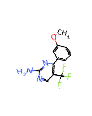 COc1cccc(-c2nc(N)ncc2C(F)(F)F)c1